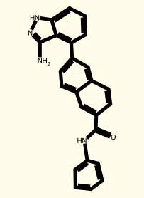 Nc1n[nH]c2cccc(-c3ccc4cc(C(=O)Nc5ccccc5)ccc4c3)c12